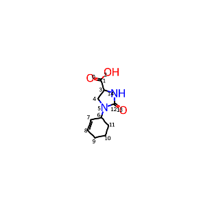 O=C(O)C1CN(C2C=CCCC2)C(=O)N1